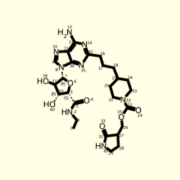 CCNC(=O)[C@H]1O[C@@H](n2cnc3c(N)nc(CCCC4CCN(C(=O)OCC5CCNC5=O)CC4)nc32)C(O)[C@H]1O